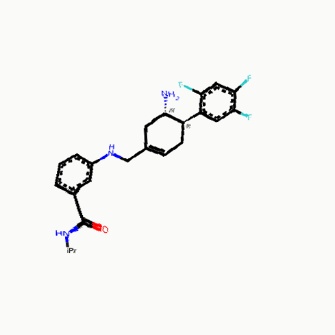 CC(C)NC(=O)c1cccc(NCC2=CC[C@H](c3cc(F)c(F)cc3F)[C@@H](N)C2)c1